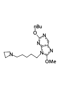 CCCCOc1ncc2nc(OC)n(CCCCCN3CCC3)c2n1